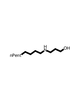 CCCCCCCCCNCCCO